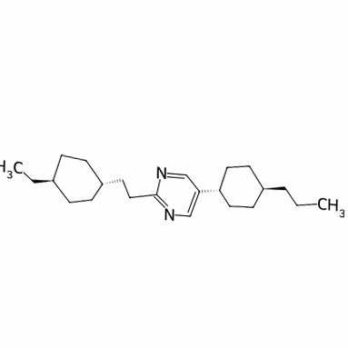 CCC[C@H]1CC[C@H](c2cnc(CC[C@H]3CC[C@H](CC)CC3)nc2)CC1